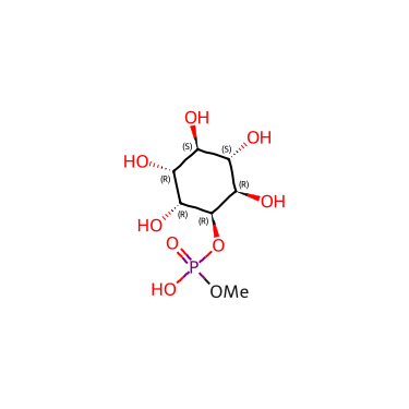 COP(=O)(O)O[C@H]1[C@H](O)[C@H](O)[C@@H](O)[C@H](O)[C@H]1O